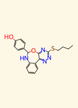 CCCCSc1nnc2c(n1)OC(c1ccc(O)cc1)Nc1ccccc1-2